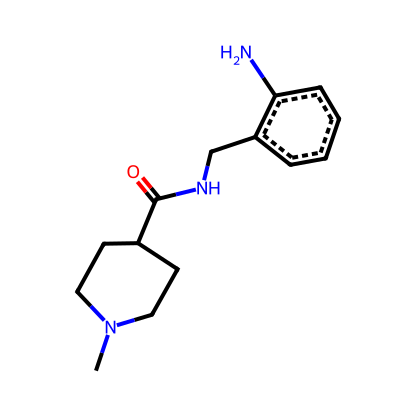 CN1CCC(C(=O)NCc2ccccc2N)CC1